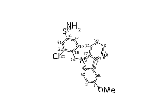 COc1ccc2c(c1)c1ncccc1n2Cc1ccc(SN)cc1Cl